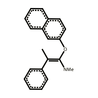 CNC(Oc1ccc2ccccc2c1)=C(C)c1ccccc1